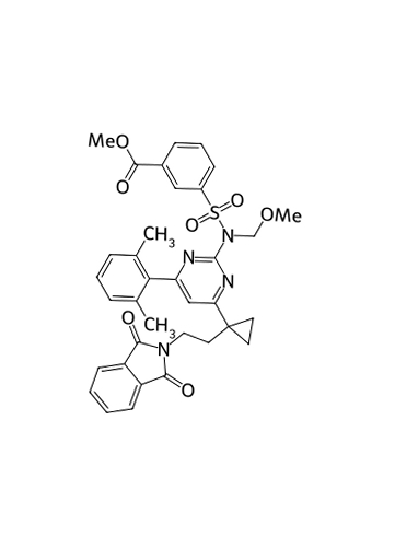 COCN(c1nc(-c2c(C)cccc2C)cc(C2(CCN3C(=O)c4ccccc4C3=O)CC2)n1)S(=O)(=O)c1cccc(C(=O)OC)c1